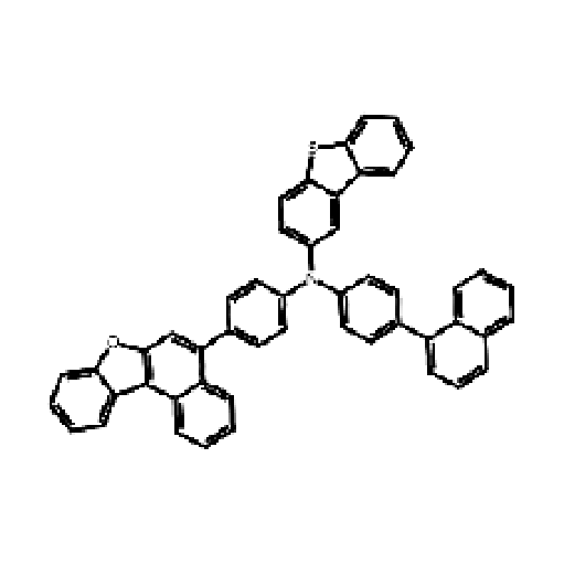 c1ccc2c(-c3ccc(N(c4ccc(-c5cc6oc7ccccc7c6c6ccccc56)cc4)c4ccc5sc6ccccc6c5c4)cc3)cccc2c1